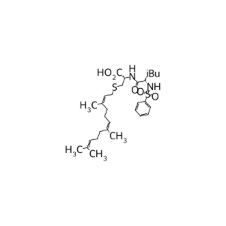 CC[C@H](C)[C@H](NS(=O)(=O)c1ccccc1)C(=O)N[C@@H](CSCC=C(C)CCC=C(C)CCC=C(C)C)C(=O)O